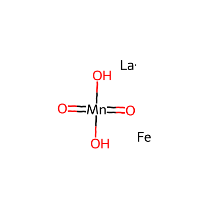 [Fe].[La].[O]=[Mn](=[O])([OH])[OH]